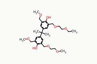 CCOCCOCc1cc(C(C)(C)c2cc(COC)c(O)c(COCCOC)c2)cc(COC)c1O